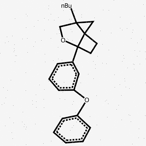 CCCCC12COC3(c4cccc(Oc5ccccc5)c4)CCC13C2